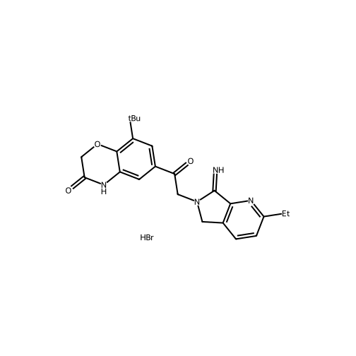 Br.CCc1ccc2c(n1)C(=N)N(CC(=O)c1cc3c(c(C(C)(C)C)c1)OCC(=O)N3)C2